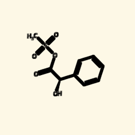 CS(=O)(=O)OC(=O)[C@H](O)c1ccccc1